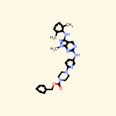 Cc1cccc(C)c1Nc1nn(C)c2nc(Nc3ccc(N4CCN(C(=O)OCc5ccccc5)CC4)nc3)ncc12